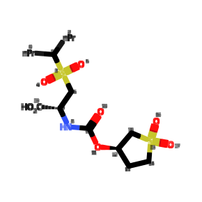 CCCC(CCC)S(=O)(=O)C[C@H](NC(=O)O[C@@H]1CCS(=O)(=O)C1)C(=O)O